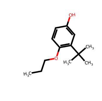 CCCOc1ccc(O)cc1C(C)(C)C